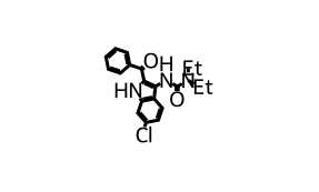 CCN(CC)C(=O)Nc1c(C(=O)c2ccccc2)[nH]c2cc(Cl)ccc12